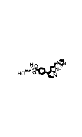 O=S(=O)(NCCO)c1ccc(-c2ccnc3[nH]c(Cn4ccnn4)cc23)cc1